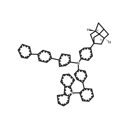 c1ccc(-c2ccc(-c3ccc(N(c4ccc(-c5ccccc5-n5c6ccccc6c6ccccc65)cc4)c4ccc(C56C[C@@H]7CC8C[C@@H](C5)C87C6)cc4)cc3)cc2)cc1